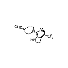 O=CN1CCN(c2ncc(C(F)(F)F)c3cc[nH]c23)CC1